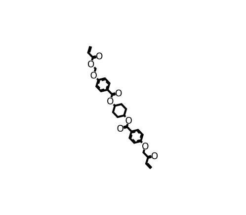 C=CC(=O)COc1ccc(C(=O)OC2CCC(OC(=O)c3ccc(OCOC(=O)C=C)cc3)CC2)cc1